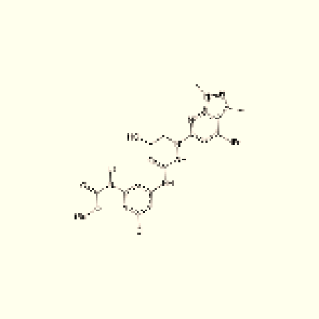 CCN(C(=O)OC(C)(C)C)c1cc(NC(=O)NN(CCO)c2cc(C(C)C)c3c(C)nn(C)c3n2)cc(Cl)n1